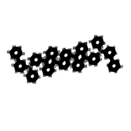 c1ccc(-c2cccc(N(c3ccccc3)c3cccc(-c4c5ccccc5c(-c5cccc6c(-c7c8ccccc8c(-c8cccc(N(c9ccccc9)c9cccc(-c%10ccccc%10)c9)c8)c8ccccc78)cccc56)c5ccccc45)c3)c2)cc1